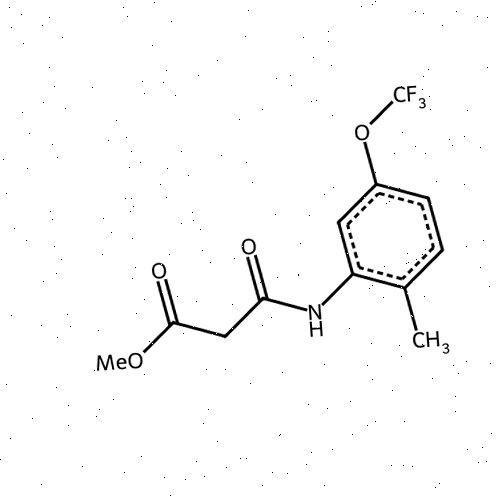 COC(=O)CC(=O)Nc1cc(OC(F)(F)F)ccc1C